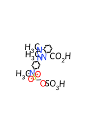 CN(C)c1cccc(C(=O)O)c1/N=N/c1ccc(N(C)S(=O)(=O)CCOS(=O)(=O)O)cc1